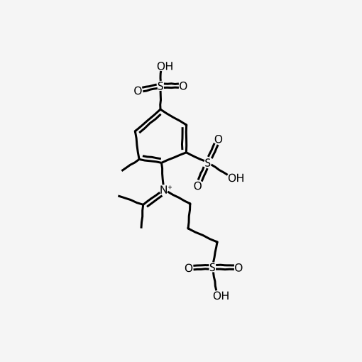 CC(C)=[N+](CCCS(=O)(=O)O)c1c(C)cc(S(=O)(=O)O)cc1S(=O)(=O)O